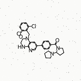 O=C1CNc2ncc(-c3ccc(C(=O)N4CCCC4N4CCCC4)cc3)cc2N1Cc1c(Cl)cccc1Cl